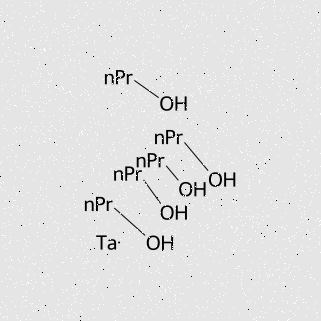 CCCO.CCCO.CCCO.CCCO.CCCO.[Ta]